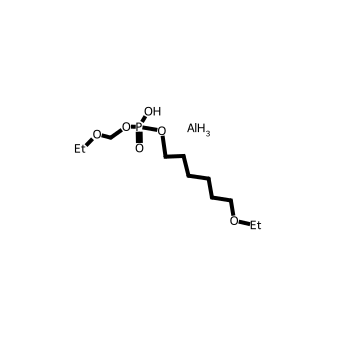 CCOCCCCCCOP(=O)(O)OCOCC.[AlH3]